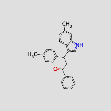 Cc1ccc(C(CC(=O)c2ccccc2)c2c[nH]c3cc(C)ccc23)cc1